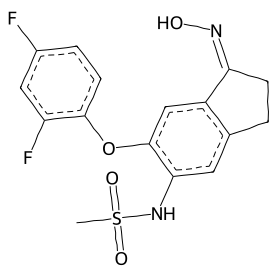 CS(=O)(=O)Nc1cc2c(cc1Oc1ccc(F)cc1F)/C(=N\O)CC2